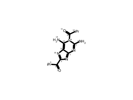 CC(C)C(=O)c1nc2nc(N)n(C(=O)C(C)C)c(N)c-2n1